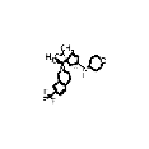 CC(C)[C@]1(C(=O)N2CCc3ccc(C(F)(F)F)cc3C2)C=C[C@@H](NC2CCOCC2)C1